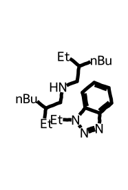 CCCCC(CC)CNCC(CC)CCCC.CCn1nnc2ccccc21